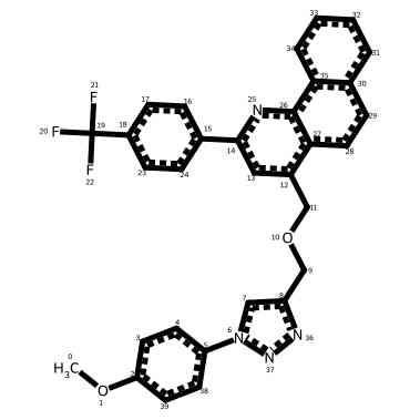 COc1ccc(-n2cc(COCc3cc(-c4ccc(C(F)(F)F)cc4)nc4c3ccc3ccccc34)nn2)cc1